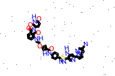 CNc1cc(-c2ccc3cc(C#N)cnn23)ncc1-c1nnc(C2CCC(NC(=O)C3CC(OCCNc4cccc5c4C(=O)N([C@H]4CCC(=O)NC4=O)C5=O)C3)CC2)s1